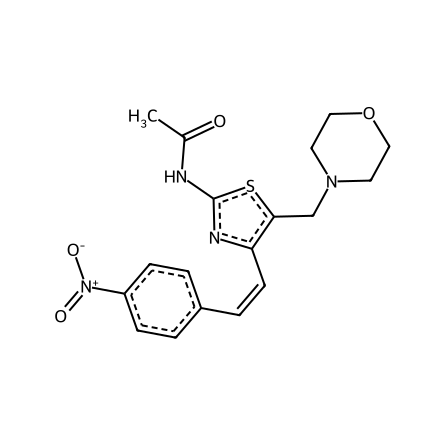 CC(=O)Nc1nc(/C=C\c2ccc([N+](=O)[O-])cc2)c(CN2CCOCC2)s1